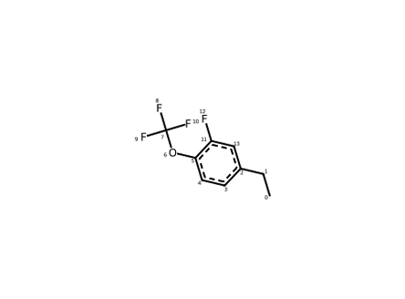 CCc1ccc(OC(F)(F)F)c(F)c1